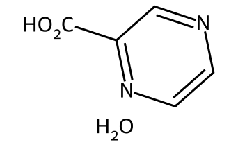 O.O=C(O)c1cnccn1